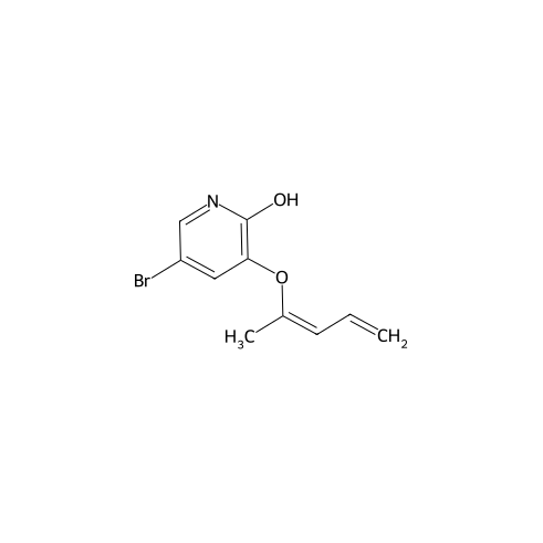 C=C/C=C(/C)Oc1cc(Br)cnc1O